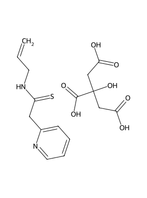 C=CCNC(=S)Cc1ccccn1.O=C(O)CC(O)(CC(=O)O)C(=O)O